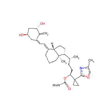 C=C1/C(=C\C=C2/CCC[C@]3(C)[C@@H]([C@H](C)CC[C@H](OC(=O)NC)C4(c5nc(C)co5)CC4)CC[C@@H]23)C[C@@H](O)C[C@@H]1O